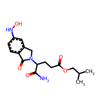 CC(C)COC(=O)CCC(C(N)=O)N1Cc2cc(NO)ccc2C1=O